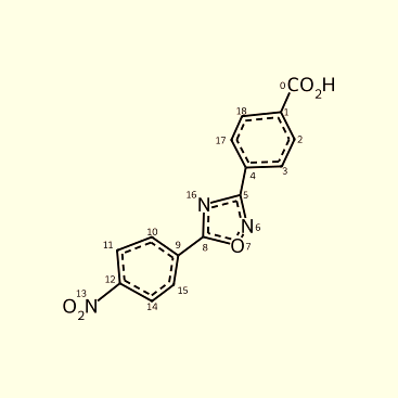 O=C(O)c1ccc(-c2noc(-c3ccc([N+](=O)[O-])cc3)n2)cc1